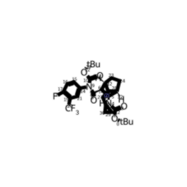 CC(C)(C)OC(=O)N[C@H]1[C@@H](C(=O)N(C(=O)OC(C)(C)C)c2ccc(F)c(C(F)(F)F)c2)[C@H]2CC[C@@H]1/C2=C\C1CC1